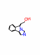 OCC=c1c2ccccc2c2cncn12